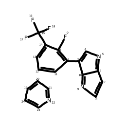 Fc1c(C2=CN=C3C=CN=C23)cccc1C(F)(F)F.c1ccncc1